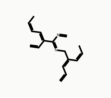 C=C/C=C(\C=C/C)C/N=C(N=C)/C(C=C)=C/C=C\C